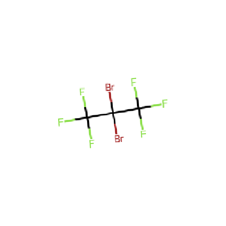 FC(F)(F)C(Br)(Br)C(F)(F)F